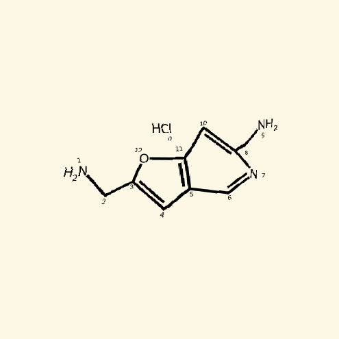 Cl.NCc1cc2cnc(N)cc2o1